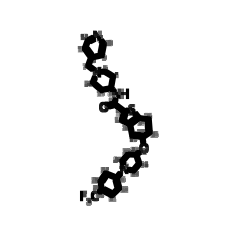 O=C(NC1CCN(Cc2ccncc2)CC1)c1cc2cc(OC3CCN(c4ccc(C(F)(F)F)cc4)CC3)ccc2s1